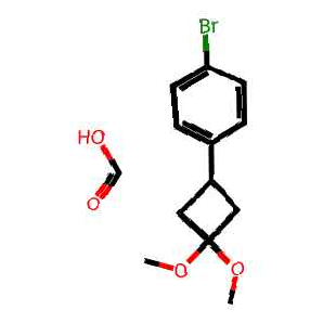 COC1(OC)CC(c2ccc(Br)cc2)C1.O=CO